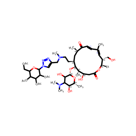 CC[C@H]1OC(=O)C[C@@H](O)[C@H](C)[C@@H](O[C@@H]2O[C@H](C)[C@@H](O)C(N(C)C)C2O)[C@@H](CCN(C)Cc2cn(C3OC(COC(C)=O)C(OC(C)=O)C(OC(C)=O)C3OC(C)=O)nn2)C[C@@H](C)C(=O)/C=C/C(C)=C/[C@@H]1CO